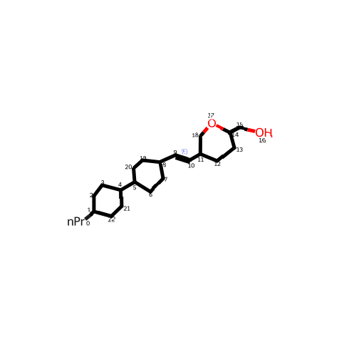 CCCC1CCC(C2CCC(/C=C/C3CCC(CO)OC3)CC2)CC1